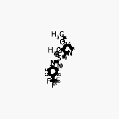 CCOc1ccnc(C[S+]([O-])C2N=c3ccc(C(F)(F)F)cc3=N2)c1C